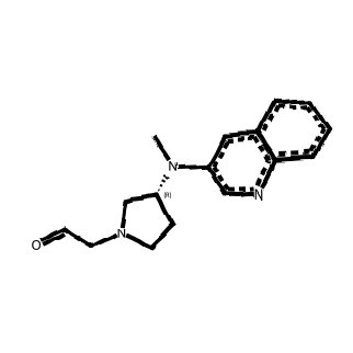 CN(c1cnc2ccccc2c1)[C@@H]1CCN(C[C]=O)C1